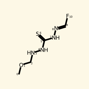 COCNNC(=S)NN=CF